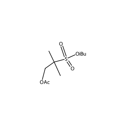 CC(=O)OCC(C)(C)S(=O)(=O)OCC(C)C